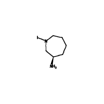 N[C@@H]1CCCCN(I)C1